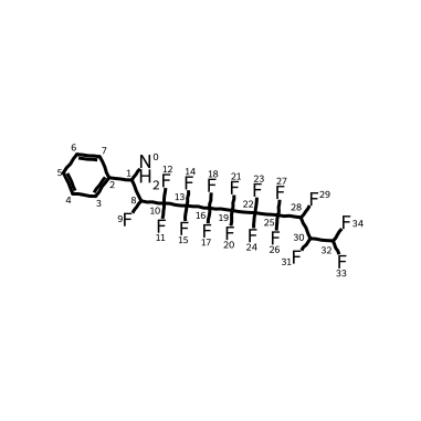 NC(c1ccccc1)C(F)C(F)(F)C(F)(F)C(F)(F)C(F)(F)C(F)(F)C(F)(F)C(F)C(F)C(F)F